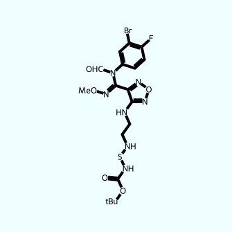 CO/N=C(/c1nonc1NCCNSNC(=O)OC(C)(C)C)N(C=O)c1ccc(F)c(Br)c1